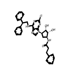 O=C(CCc1ccccc1)N[C@H]1C[C@@H](n2cnc3c(NCC(c4ccccc4)c4ccccc4)nc(Cl)nc32)[C@H](O)[C@@H]1O